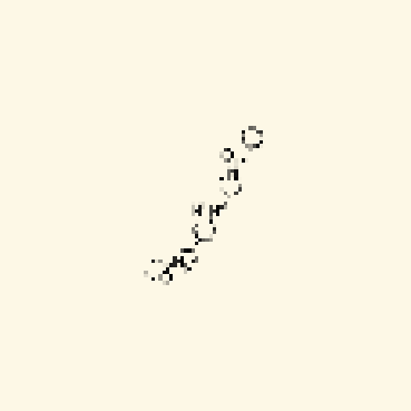 O=C(Cc1ccccc1)N1CCC(Cn2cnc3cc(-c4cnn(C5CCCCO5)c4)ccc32)CC1